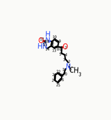 CN(CCCCC(=O)c1ccc2c(c1)CNC(=O)N2)CCc1ccccc1